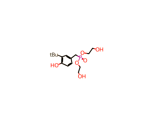 CC(C)(C)c1cc(CP(=O)(OCCO)OCCO)ccc1O